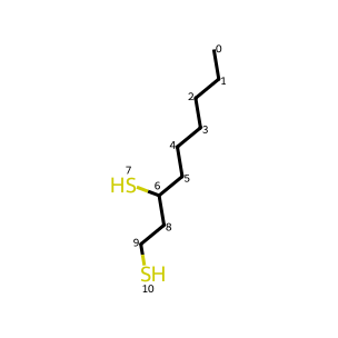 CCCCCCC(S)CCS